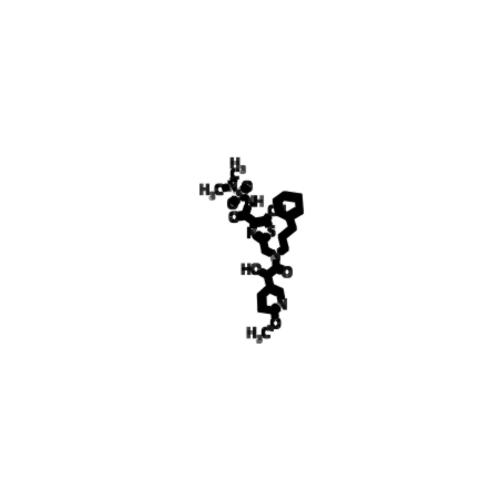 COc1ccc(C(O)C(=O)N(CCCc2ccccc2)Cc2nc(C(=O)NS(=O)(=O)N(C)C)c(C)s2)cn1